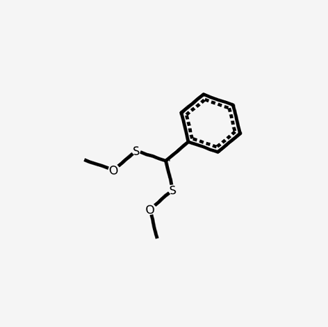 COS[C](SOC)c1ccccc1